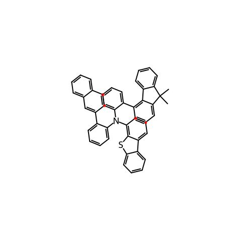 CC1(C)c2ccccc2-c2c(-c3ccccc3N(c3ccccc3-c3ccc4ccccc4c3)c3cccc4c3sc3ccccc34)cccc21